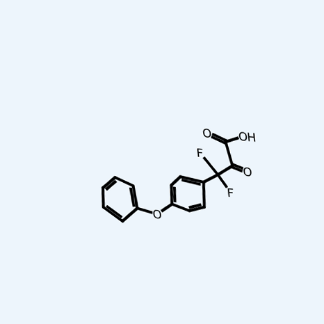 O=C(O)C(=O)C(F)(F)c1ccc(Oc2ccccc2)cc1